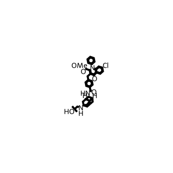 COC(=O)c1c(Cc2ccc(C(=O)NC3[C@@H]4CC5C[C@H]3CC(NCC(C)(C)O)(C5)C4)cc2)c(=O)c2ccc(Cl)cc2n1-c1ccccc1